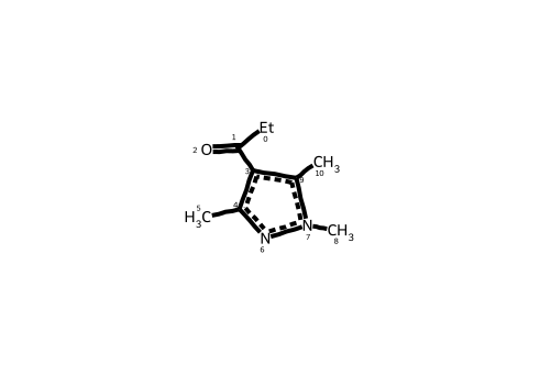 CCC(=O)c1c(C)nn(C)c1C